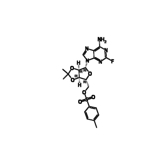 Cc1ccc(S(=O)(=O)OC[C@H]2O[C@@H](n3cnc4c(N)nc(F)nc43)[C@@H]3OC(C)(C)O[C@@H]32)cc1